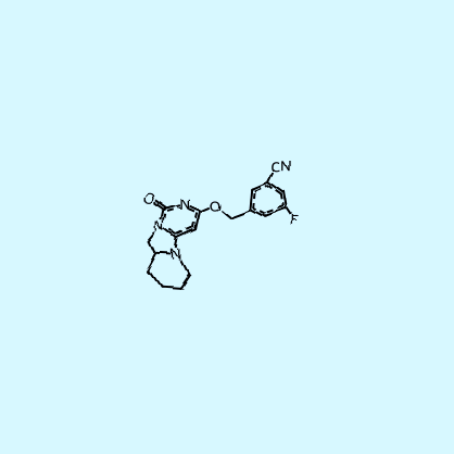 N#Cc1cc(F)cc(COc2cc3n(c(=O)n2)CC2CCCCN32)c1